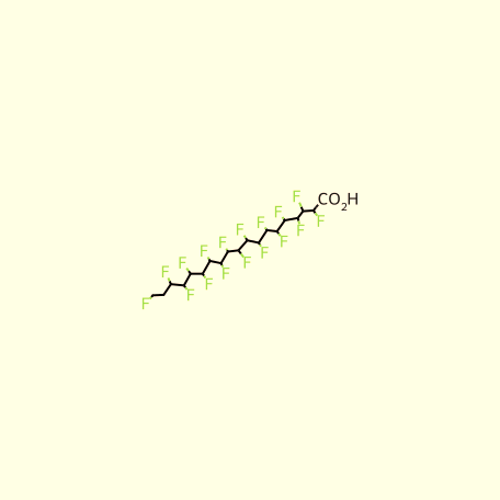 O=C(O)C(F)C(F)C(F)C(F)C(F)C(F)C(F)C(F)C(F)C(F)C(F)C(F)C(F)C(F)C(F)C(F)CCF